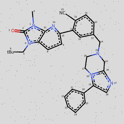 Cn1c(=O)n(CC(C)(C)C)c2ccc(-c3cc(CN4CCn5c(-c6ccccc6)cnc5C4)ccc3C#N)nc21